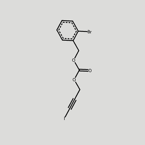 O=C(OCC#CI)OCc1ccccc1Br